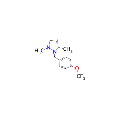 CC1=CCN(C)N1Cc1ccc(OC(F)(F)F)cc1